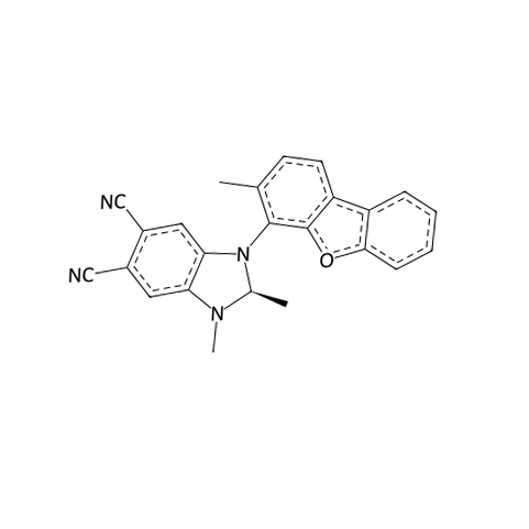 Cc1ccc2c(oc3ccccc32)c1N1c2cc(C#N)c(C#N)cc2N(C)[C@@H]1C